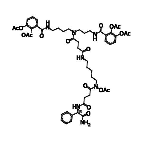 CC(=O)Oc1cccc(C(=O)NCCCCN(CCCNC(=O)c2cccc(OC(C)=O)c2OC(C)=O)C(=O)CCC(=O)NCCCCCN(OC(C)=O)C(=O)CCC(=O)N[C@@H](C(N)=O)c2ccccc2)c1OC(C)=O